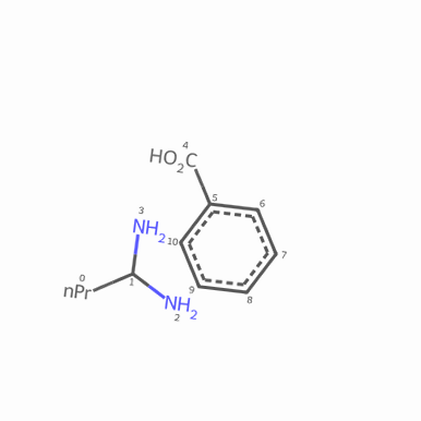 CCCC(N)N.O=C(O)c1ccccc1